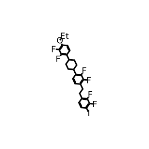 CCOc1ccc(C2CCC(c3ccc(CCc4ccc(I)c(F)c4F)c(F)c3F)CC2)c(F)c1F